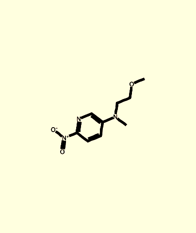 COCCN(C)c1ccc([N+](=O)[O-])nc1